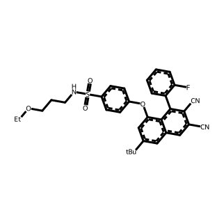 CCOCCCNS(=O)(=O)c1ccc(Oc2cc(C(C)(C)C)cc3cc(C#N)c(C#N)c(-c4ccccc4F)c23)cc1